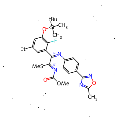 CCc1cc(O[Si](C)(C)C(C)(C)C)c(F)c(C(=N/c2ccc(-c3noc(C)n3)cc2)/C(=N/C(=O)OC)SC)c1